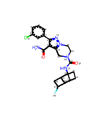 NC(=O)c1c(-c2cccc(Cl)c2)nn2c1CN(C(=O)NC13C4C5C1C1C3C4C51F)CC2